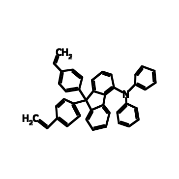 C=Cc1ccc(C2(c3ccc(C=C)cc3)c3ccccc3-c3c(N(c4ccccc4)c4ccccc4)cccc32)cc1